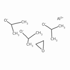 C1CO1.CC(C)[O-].CC(C)[O-].CC(C)[O-].[Al+3]